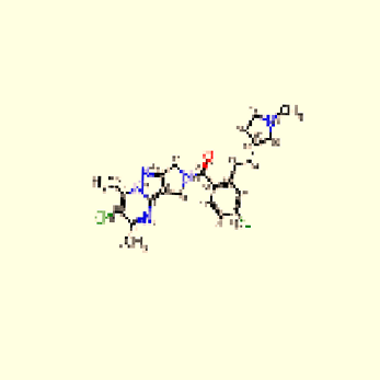 Cc1nc2c3c(nn2c(C)c1Cl)CN(C(=O)c1ccc(F)cc1CC[C@@H]1CCN(C)C1)C3